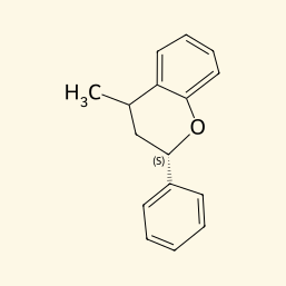 CC1C[C@@H](c2ccccc2)Oc2ccccc21